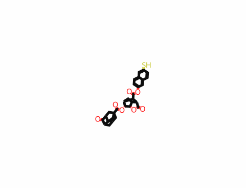 O=C1C2CC3CC1CC(C(=O)OC1C4CC5C1OC(=O)C5C4C(=O)Oc1ccc4cc(S)ccc4c1)(C3)C2